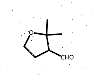 CC1(C)OCCC1C=O